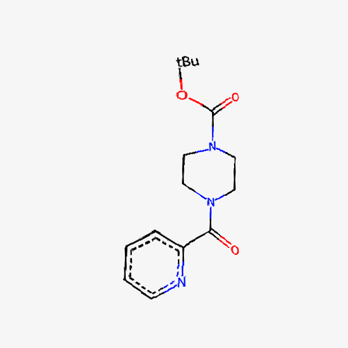 CC(C)(C)OC(=O)N1CCN(C(=O)c2ccccn2)CC1